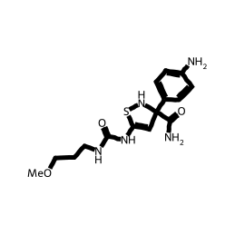 COCCCNC(=O)NC1=CC(C(N)=O)(c2ccc(N)cc2)NS1